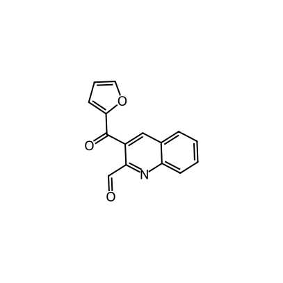 O=Cc1nc2ccccc2cc1C(=O)c1ccco1